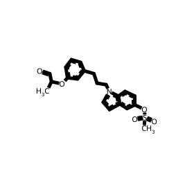 CC(C=O)Oc1cccc(CCCn2ccc3cc(OS(C)(=O)=O)ccc32)c1